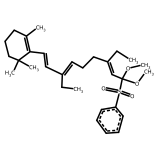 CCC(C=CC1=C(C)CCCC1(C)C)=CCCC(=CC(OC)(OC)S(=O)(=O)c1ccccc1)CC